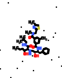 CCCC(O)C(NC[C@@H](O)[C@H](Cc1ccccc1)NC(=O)c1cc(C)cc(C(=O)N(C)Cc2nc(C)cs2)c1)C(=O)NCC(C)C